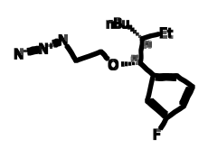 CCCC[C@H](CC)[C@@H](OCCN=[N+]=[N-])c1cccc(F)c1